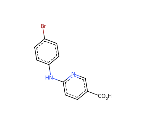 O=C(O)c1ccc(Nc2ccc(Br)cc2)nc1